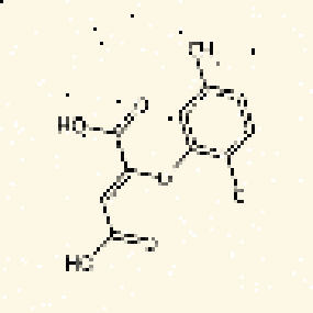 Cc1ccc(Cl)c(O/C(=C\C(=O)O)C(=O)O)c1